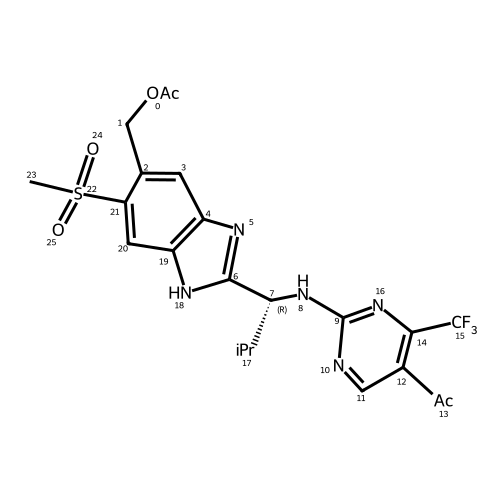 CC(=O)OCc1cc2nc([C@H](Nc3ncc(C(C)=O)c(C(F)(F)F)n3)C(C)C)[nH]c2cc1S(C)(=O)=O